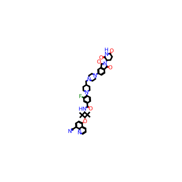 CC1(C)[C@H](NC(=O)c2ccc(N3CCC(CN4CCN(c5ccc6c(c5)C(=O)N(C5CCC(=O)NC5=O)C6=O)CC4)CC3)c(F)c2)C(C)(C)[C@H]1Oc1ccc(C#N)c2ncccc12